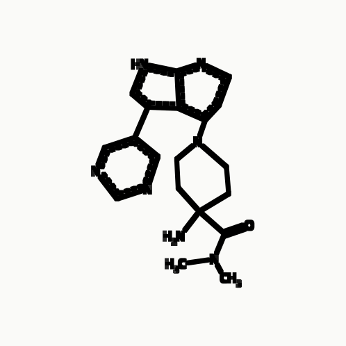 CN(C)C(=O)C1(N)CCN(c2ccnc3[nH]cc(-c4cncnc4)c23)CC1